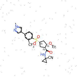 CCO[C@H]1C[C@@H](S(=O)(=O)c2ccc(-c3cnn(C)c3)cc2C(F)(F)F)C[C@@H]1C(=O)NC1(C#N)CC1